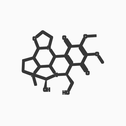 COC1=C(OC)C(=O)C2=C(C1=O)C1C3C4C(CC([C@@H](O)N3[C@@H]2CO)N4C)C2OCCN21